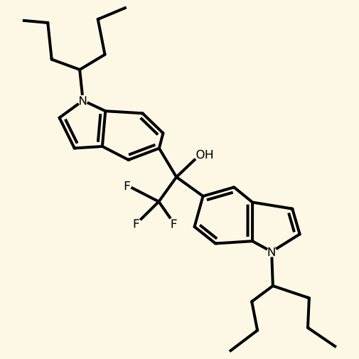 CCCC(CCC)n1ccc2cc(C(O)(c3ccc4c(ccn4C(CCC)CCC)c3)C(F)(F)F)ccc21